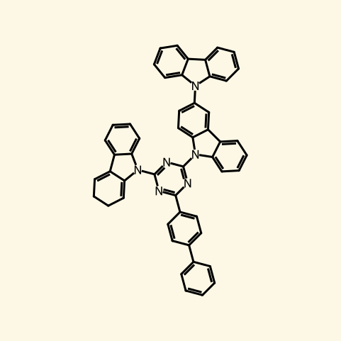 C1=c2c(n(-c3nc(-c4ccc(-c5ccccc5)cc4)nc(-n4c5ccccc5c5cc(-n6c7ccccc7c7ccccc76)ccc54)n3)c3ccccc23)=CCC1